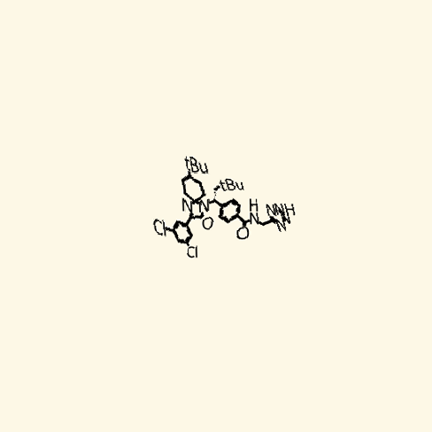 CC(C)(C)C[C@H](c1ccc(C(=O)NCc2nn[nH]n2)cc1)N1C(=O)C(c2cc(Cl)cc(Cl)c2)=NC12CCC(C(C)(C)C)CC2